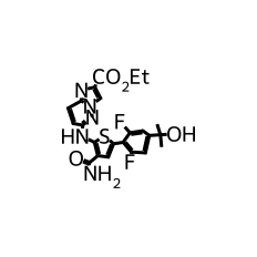 CCOC(=O)c1cn2nc(Nc3sc(-c4c(F)cc(C(C)(C)O)cc4F)cc3C(N)=O)ccc2n1